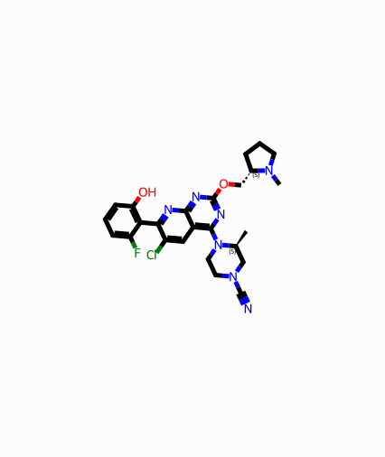 C[C@H]1CN(C#N)CCN1c1nc(OC[C@@H]2CCCN2C)nc2nc(-c3c(O)cccc3F)c(Cl)cc12